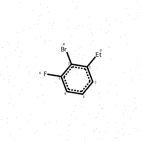 CCc1cccc(F)c1Br